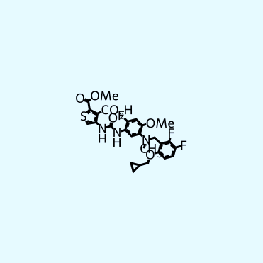 COC(=O)c1scc(NC(=O)Nc2cc(N(C)Cc3c(OCC4CC4)ccc(F)c3F)c(OC)cc2F)c1C(=O)O